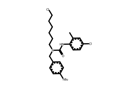 CCCCc1ccc(CN(CCCCCCCl)C(=O)Nc2ccc(Cl)cc2C)cc1